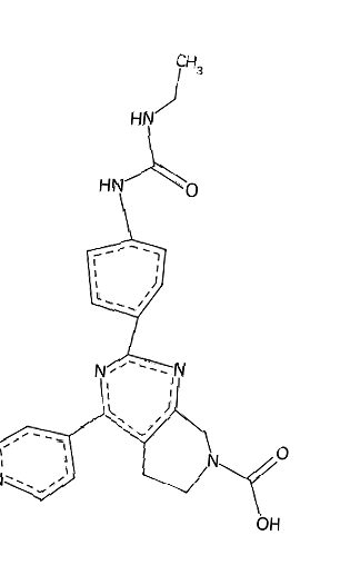 CCNC(=O)Nc1ccc(-c2nc3c(c(-c4ccncc4)n2)CCN(C(=O)O)C3)cc1